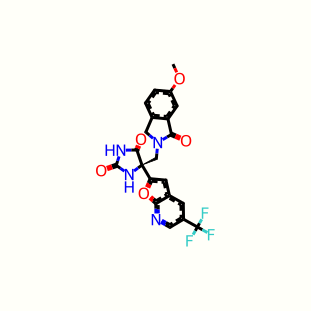 COc1ccc2c(c1)C(=O)N(C[C@@]1(c3cc4cc(C(F)(F)F)cnc4o3)NC(=O)NC1=O)C2